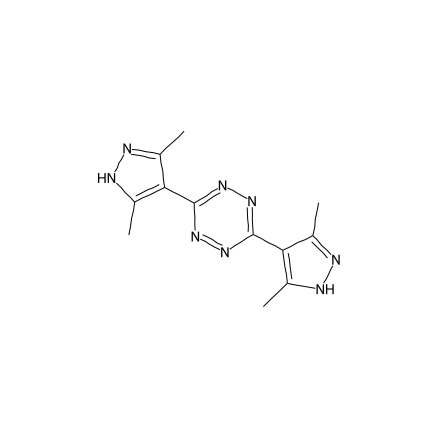 Cc1n[nH]c(C)c1-c1nnc(-c2c(C)n[nH]c2C)nn1